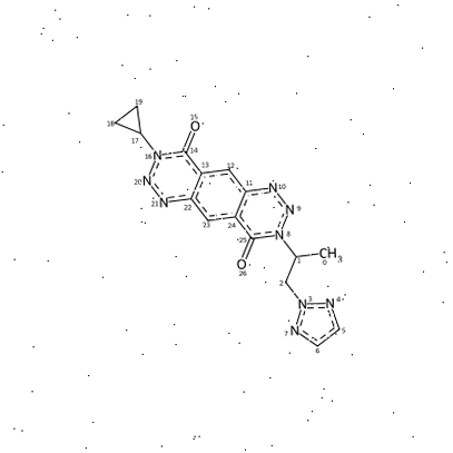 CC(Cn1nccn1)n1nnc2cc3c(=O)n(C4CC4)nnc3cc2c1=O